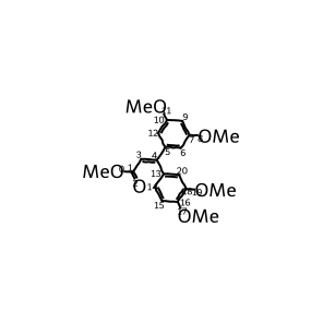 COC(=O)C=C(c1cc(OC)cc(OC)c1)c1ccc(OC)c(OC)c1